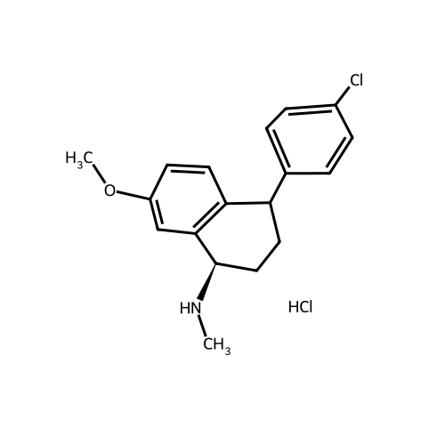 CN[C@@H]1CCC(c2ccc(Cl)cc2)c2ccc(OC)cc21.Cl